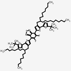 CCCCCCCCCCC(CCCCCCCC)Cc1cc(-c2c(F)c(F)c(-c3cc(CC(CCCCCCC)CCCCCCCC)c(-c4ccc(C(C)(C)C)s4)s3)c3nsnc23)sc1-c1ccc(C(C)(C)C)s1